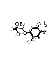 CCP(=O)(COc1cc(N)c(F)cc1Cl)OCC(C)C